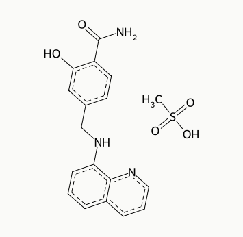 CS(=O)(=O)O.NC(=O)c1ccc(CNc2cccc3cccnc23)cc1O